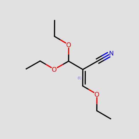 CCO/C=C(\C#N)C(OCC)OCC